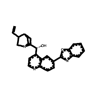 C=CC1CN2CCC1CC2[C@H](O)c1ccnc2ccc(-c3nc4ccccc4o3)cc12